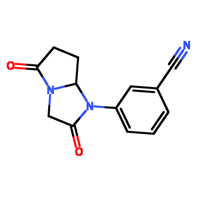 N#Cc1cccc(N2C(=O)CN3C(=O)CCC32)c1